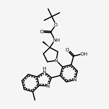 Cc1cccc2[nH]c(-c3cncc(C(=O)O)c3N3CC[C@](C)(NC(=O)OC(C)(C)C)C3)nc12